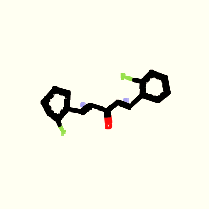 O=C(/C=C/c1ccccc1F)/C=C/c1ccccc1F